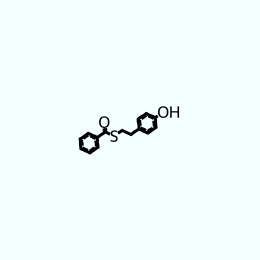 O=C(SCCc1ccc(O)cc1)c1ccccc1